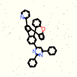 c1ccc(-c2cc(-c3ccc4c(c3)C3(c5ccccc5Oc5ccccc53)c3cc(-c5ccccn5)ccc3-4)nc(-c3ccccc3)n2)cc1